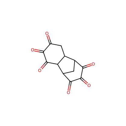 O=C1CC2C3CC(C(=O)C(=O)C3=O)C2C(=O)C1=O